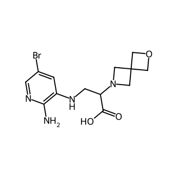 Nc1ncc(Br)cc1NCC(C(=O)O)N1CC2(COC2)C1